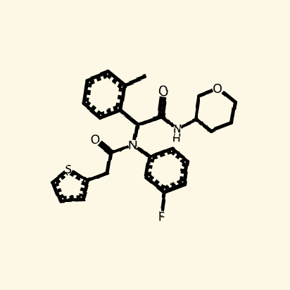 Cc1ccccc1C(C(=O)NC1CCCOC1)N(C(=O)Cc1cccs1)c1cccc(F)c1